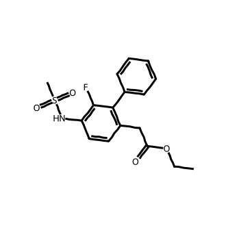 CCOC(=O)Cc1ccc(NS(C)(=O)=O)c(F)c1-c1ccccc1